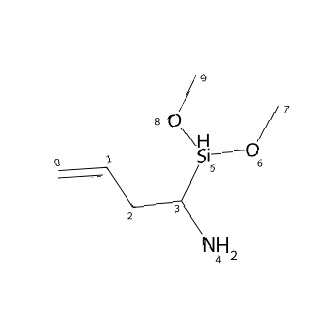 C=CCC(N)[SiH](OC)OC